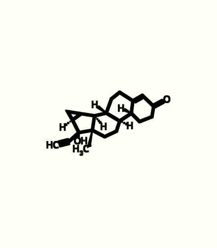 C#C[C@]1(O)[C@H]2CC2[C@H]2[C@@H]3CCC4=CC(=O)CC[C@@H]4[C@H]3CC[C@@]21CC